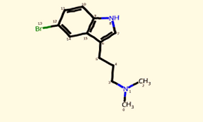 CN(C)CCCc1c[nH]c2ccc(Br)cc12